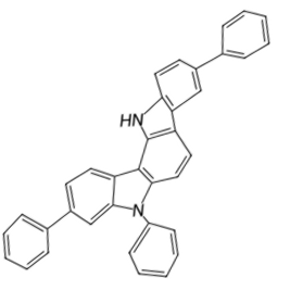 c1ccc(-c2ccc3[nH]c4c(ccc5c4c4ccc(-c6ccccc6)cc4n5-c4ccccc4)c3c2)cc1